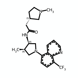 C[C@@H]1CN(c2ccc(C(F)(F)F)c3ncccc23)C[C@@H]1NC(=O)C[C@@H]1CCN(C)C1